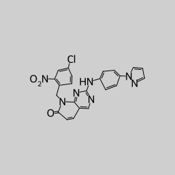 O=c1ccc2cnc(Nc3ccc(-n4cccn4)cc3)nc2n1Cc1ccc(Cl)cc1[N+](=O)[O-]